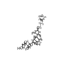 O[C@@H]1CO[C@H]2[C@@H]1OC[C@H]2Oc1cc2nc(-c3c(F)cc(OCCCN4CCOCC4)cc3F)c(F)cc2[nH]1